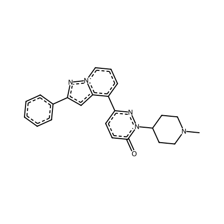 CN1CCC(n2nc(-c3cccn4nc(-c5ccccc5)cc34)ccc2=O)CC1